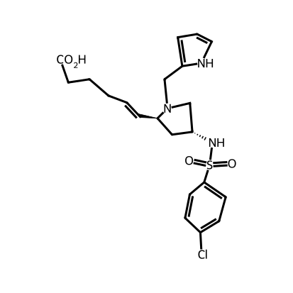 O=C(O)CCCC=C[C@@H]1C[C@@H](NS(=O)(=O)c2ccc(Cl)cc2)CN1Cc1ccc[nH]1